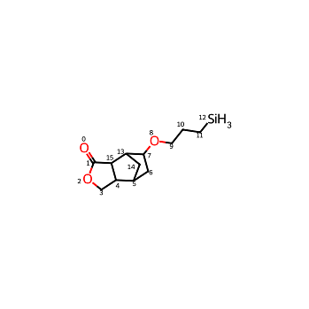 O=C1OCC2C3CC(OCCC[SiH3])C(C3)C12